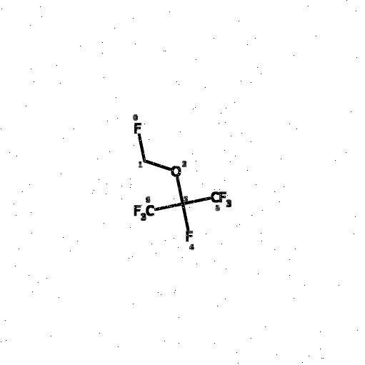 FCOC(F)(C(F)(F)F)C(F)(F)F